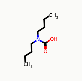 CCCCN(CCCC)C(=O)O